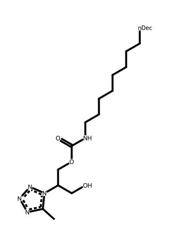 CCCCCCCCCCCCCCCCCCNC(=O)OCC(CO)n1nnnc1C